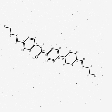 CCCC=Cc1ccc(OC(=O)c2ccc(C3CCC(C=CCCC)CC3)cc2)cc1